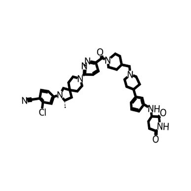 C[C@H]1CC2(CCN(c3ccc(C(=O)N4CCC(CN5CCC(c6cccc(NC7CCC(=O)NC7=O)c6)CC5)CC4)nn3)CC2)CN1c1ccc(C#N)c(Cl)c1